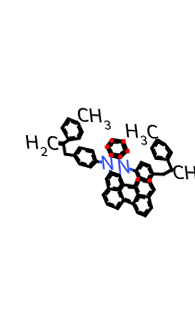 C=C(Cc1ccc(N(c2ccccc2)c2cc3cccc4c5cccc6cccc(c(c2N(c2ccccc2)c2ccc(CC(=C)c7ccc(C)cc7)cc2)c34)c65)cc1)c1ccc(C)cc1